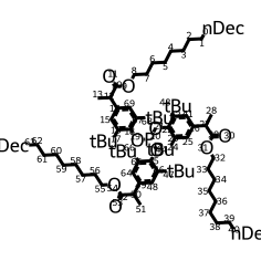 CCCCCCCCCCCCCCCCCCOC(=O)C(C)c1cc(C(C)(C)C)c(OP(Oc2c(C(C)(C)C)cc(C(C)C(=O)OCCCCCCCCCCCCCCCCCC)cc2C(C)(C)C)Oc2c(C(C)(C)C)cc(C(C)C(=O)OCCCCCCCCCCCCCCCCCC)cc2C(C)(C)C)c(C(C)(C)C)c1